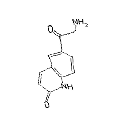 NCC(=O)c1ccc2[nH]c(=O)ccc2c1